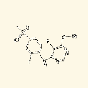 CC(C)Oc1ncnc(Nc2ccc(S(C)(=O)=O)cc2F)c1F